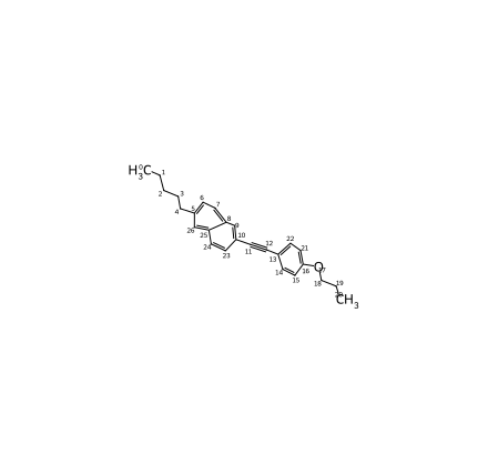 CCCCCc1ccc2cc(C#Cc3ccc(OCCC)cc3)ccc2c1